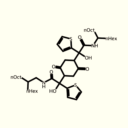 CCCCCCCCC(CCCCCC)CNC(=O)C(O)(c1cccs1)C1CC(=O)C(C(O)(C(=O)NC(CCCCCC)CCCCCCCC)c2cccs2)CC1=O